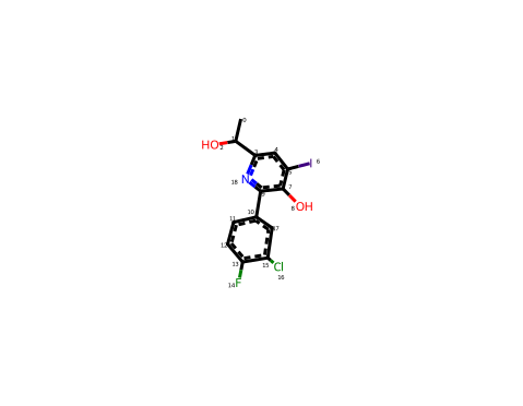 CC(O)c1cc(I)c(O)c(-c2ccc(F)c(Cl)c2)n1